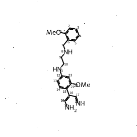 COc1ccccc1CNCCNc1ccc(/C(C=N)=C/N)c(OC)c1